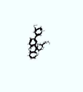 NC1NC2(CO1)c1cc(-c3cncc(F)c3)ccc1OC1CCCOC12